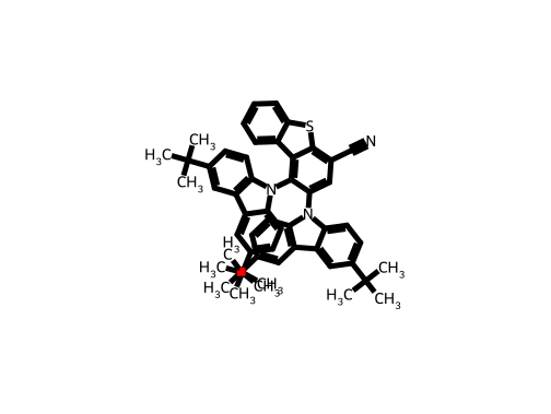 CC(C)(C)c1ccc2c(c1)c1cc(C(C)(C)C)ccc1n2-c1cc(C#N)c2sc3ccccc3c2c1-n1c2ccc(C(C)(C)C)cc2c2cc(C(C)(C)C)ccc21